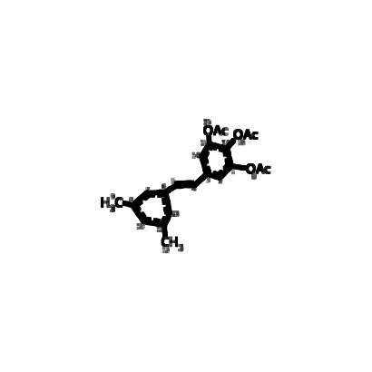 CC(=O)Oc1cc(/C=C/c2cc(C)cc(C)c2)cc(OC(C)=O)c1OC(C)=O